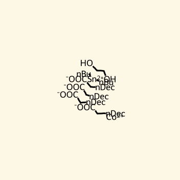 CCCCCCCCCCCC(=O)[O-].CCCCCCCCCCCC(=O)[O-].CCCCCCCCCCCC(=O)[O-].CCCCCCCCCCCC(=O)[O-].CCC[CH2][Sn+2][CH2]CCC.OCCO.[Co+2]